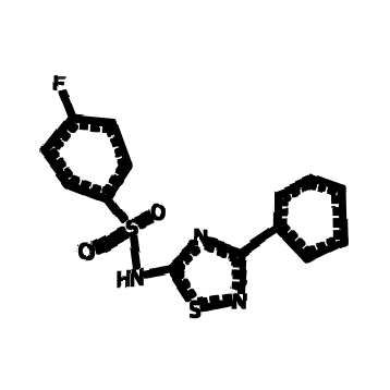 O=S(=O)(Nc1nc(-c2ccccc2)ns1)c1ccc(F)cc1